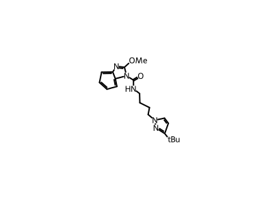 COc1nc2ccccc2n1C(=O)NCCCCn1ccc(C(C)(C)C)n1